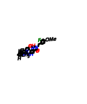 COc1ccc(CCn2cnc3cc(N/C(=N/[C@H]4C[C@@H]5C[C@H]([C@@H]4C)C5(C)C)N4CC[C@H](O)C4)ccc3c2=O)c(F)c1